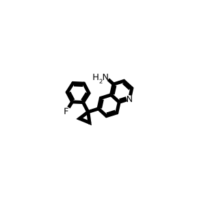 Nc1ccnc2ccc(C3(c4ccccc4F)CC3)cc12